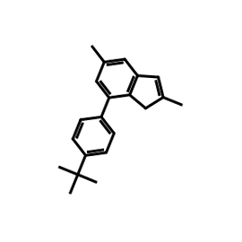 CC1=Cc2cc(C)cc(-c3ccc(C(C)(C)C)cc3)c2C1